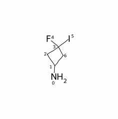 NC1CC(F)(I)C1